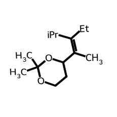 CC/C(=C(\C)C1CCOC(C)(C)O1)C(C)C